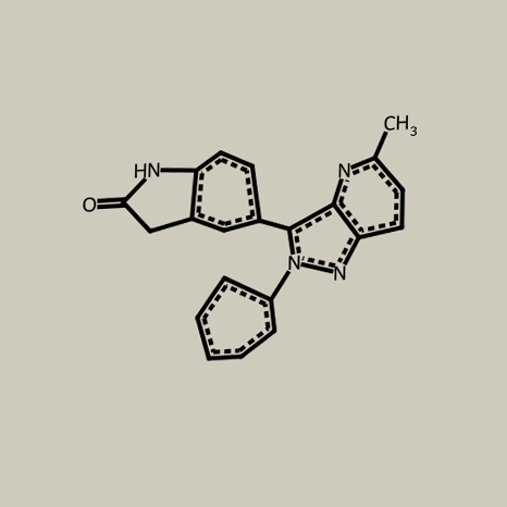 Cc1ccc2nn(-c3ccccc3)c(-c3ccc4c(c3)CC(=O)N4)c2n1